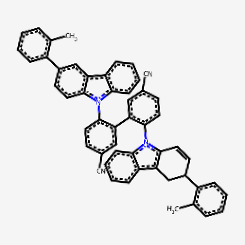 Cc1ccccc1-c1ccc2c(c1)c1ccccc1n2-c1ccc(C#N)cc1-c1cc(C#N)ccc1-n1c2c(c3ccccc31)CC(c1ccccc1C)C=C2